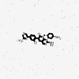 CCNc1ncc2cc(-c3ccc(-c4cncc(C)n4)cc3Cl)c(=O)n(C[C@H]3CC[C@@H](N)CC3)c2n1